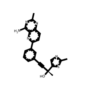 Cc1nc(N)c2nc(-c3cccc(C#C[C@@](C)(O)c4cnc(C)s4)c3)ccc2n1